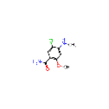 CNc1cc(OC)c(C(N)=O)cc1Cl